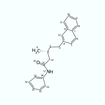 C[C@H](CCc1ccc2ccccc2c1)CC(=O)Nc1ccccc1